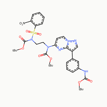 CC(C)(C)OC(=O)Nc1cccc(-c2cnn3ccc(N(CCN(C(=O)OC(C)(C)C)S(=O)(=O)c4ccccc4[N+](=O)[O-])C(=O)OC(C)(C)C)nc23)c1